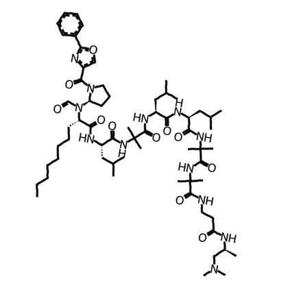 CCCCCCCC[C@@H](C(=O)N[C@@H](CC(C)C)C(=O)NC(C)(C)C(=O)N[C@@H](CC(C)C)C(=O)N[C@@H](CC(C)C)C(=O)NC(C)(C)C(=O)NC(C)(C)C(=O)NCCC(=O)N[C@@H](C)CN(C)C)N(C=O)[C@@H]1CCCN1C(=O)c1coc(-c2ccccc2)n1